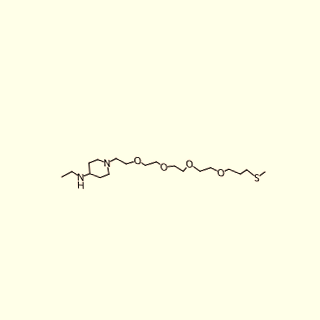 CCNC1CCN(CCOCCOCCOCCOCCCSC)CC1